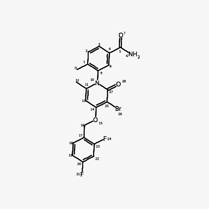 Cc1ccc(C(N)=O)cc1-n1c(C)cc(OCc2ccc(F)cc2F)c(Br)c1=O